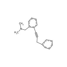 CN(C)Cc1ccccc1C#CCc1ccccc1